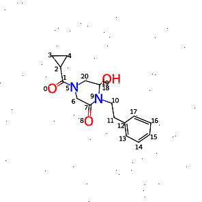 O=C(C1CC1)N1CC(=O)N(CCc2ccccc2)C(O)C1